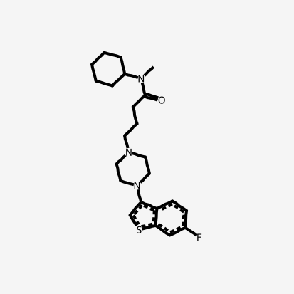 CN(C(=O)CCCN1CCN(c2csc3cc(F)ccc23)CC1)C1CCCCC1